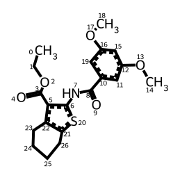 CCOC(=O)c1c(NC(=O)c2cc(OC)cc(OC)c2)sc2c1CCCC2